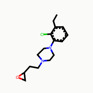 CCc1cccc(N2CCN(CCC3CO3)CC2)c1Cl